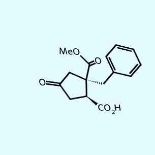 COC(=O)[C@]1(Cc2ccccc2)CC(=O)C[C@@H]1C(=O)O